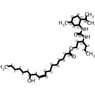 CCCCCCC(O)C/C=C\CCCCCCCC(=O)OCCC(CCC)NC(=O)NC1CC(C)CCC1C(C)C